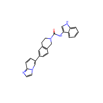 O=C(Nc1c[nH]c2ccccc12)N1CCc2cc(-c3ccc4nccn4c3)ccc2C1